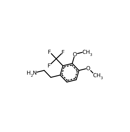 COc1ccc(CCN)c(C(F)(F)F)c1OC